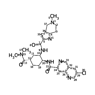 CN1CCc2nc(C(=O)N[C@@H]3C[C@@H](C(=O)N(C)C)CC[C@@H]3NC(=O)c3cc4ncc(Cl)cc4cn3)sc2C1